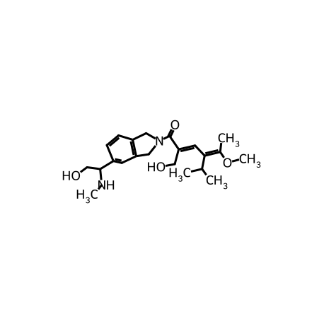 CNC(CO)c1ccc2c(c1)CN(C(=O)/C(=C/C(=C(\C)OC)C(C)C)CO)C2